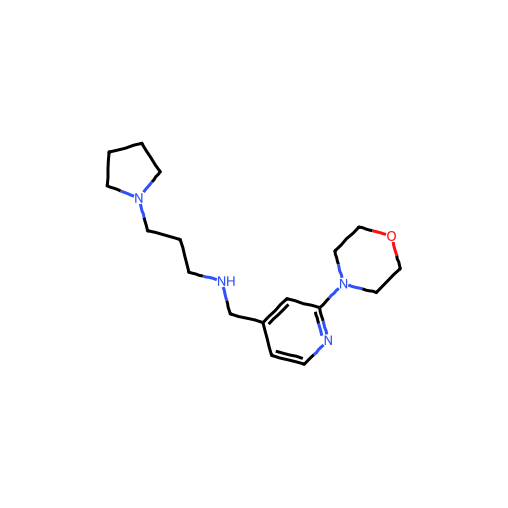 c1cc(CNCCCN2CCCC2)cc(N2CCOCC2)n1